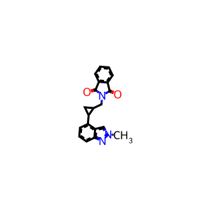 Cn1cc2c(C3CC3CN3C(=O)c4ccccc4C3=O)cccc2n1